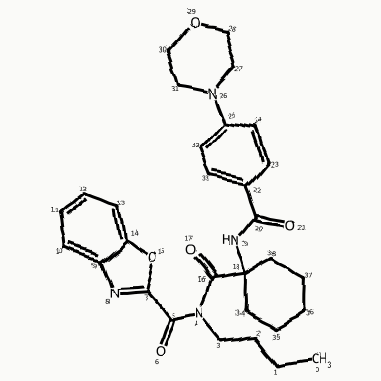 CCCCN(C(=O)c1nc2ccccc2o1)C(=O)C1(NC(=O)c2ccc(N3CCOCC3)cc2)CCCCC1